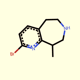 CC1CNCCc2ccc(Br)nc21